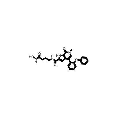 Cn1cc(-c2ccccc2Oc2ccccc2)c2cc(C(=O)NCCCC(=O)NO)[nH]c2c1=O